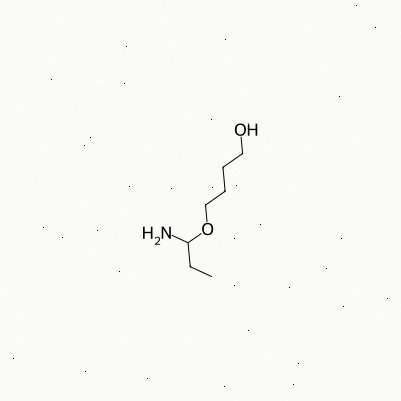 CCC(N)OCCCCO